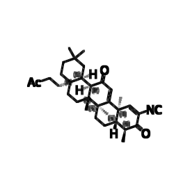 [C-]#[N+]C1=C[C@]2(C)C3=CC(=O)[C@@H]4[C@@H]5CC(C)(C)CC[C@]5(CCC(C)=O)CC[C@@]4(C)[C@]3(C)CC[C@H]2[C@H](C)C1=O